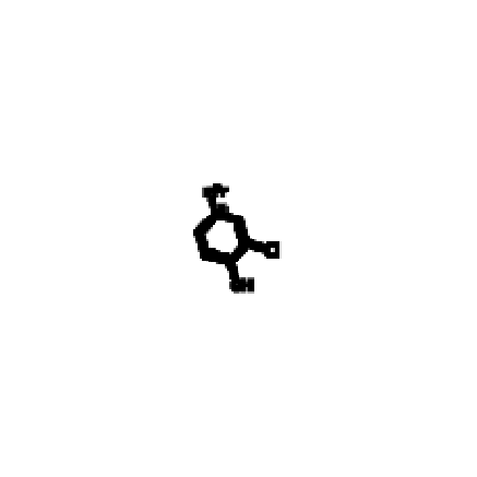 CCC[C@H]1C=C(Cl)C(O)=CC1